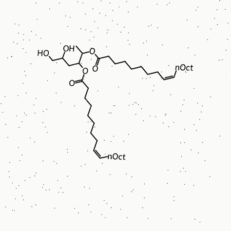 CCCCCCCC/C=C\CCCCCCCC(=O)OC(C)C(CC(O)CO)OC(=O)CCCCCCC/C=C\CCCCCCCC